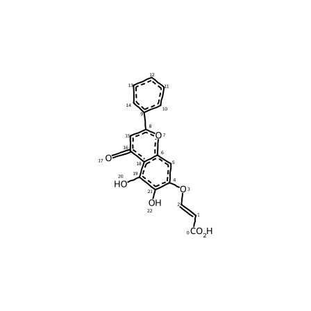 O=C(O)C=COc1cc2oc(-c3ccccc3)cc(=O)c2c(O)c1O